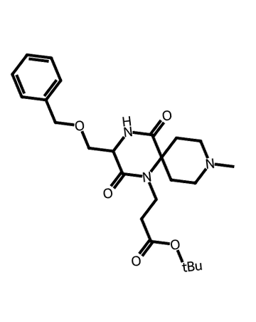 CN1CCC2(CC1)C(=O)NC(COCc1ccccc1)C(=O)N2CCC(=O)OC(C)(C)C